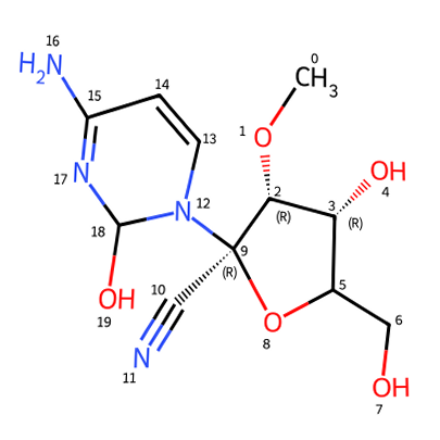 CO[C@@H]1[C@H](O)C(CO)O[C@@]1(C#N)N1C=CC(N)=NC1O